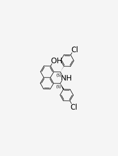 Oc1ccc2cccc3c2c1[C@H](c1ccc(Cl)cc1)N[C@H]3c1ccc(Cl)cc1